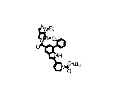 CCn1ncc2c1CN(C(=O)c1cc(-c3ccccc3OC)c3[nH]c(C4=CCCN(C(=O)OC(C)(C)C)C4)cc3c1)C2